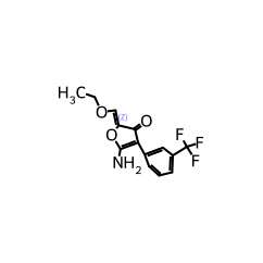 CCO/C=C1\OC(N)=C(c2cccc(C(F)(F)F)c2)C1=O